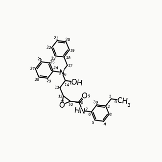 CCc1cccc(NC(=O)[C@H]2OC2CC(O)N(Cc2ccccc2)c2ccccc2)c1